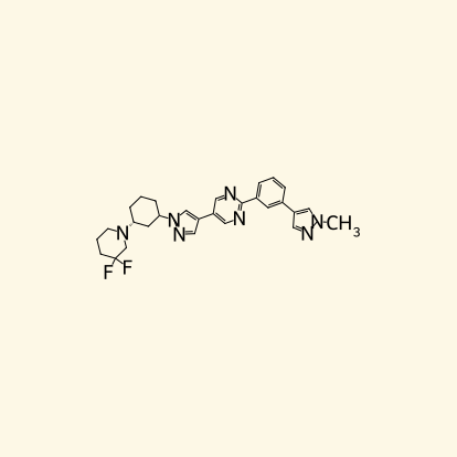 Cn1cc(-c2cccc(-c3ncc(-c4cnn(C5CCC[C@@H](N6CCCC(F)(F)C6)C5)c4)cn3)c2)cn1